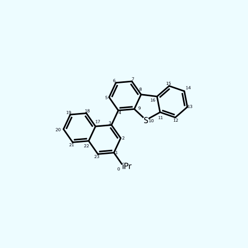 CC(C)c1cc(-c2cccc3c2sc2ccccc23)c2ccccc2c1